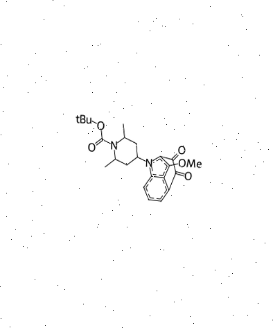 COc1c2n(C3CC(C)N(C(=O)OC(C)(C)C)C(C)C3)c3cccc(c13)C(=O)C2=O